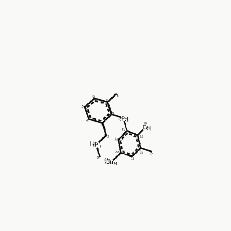 CPCc1cccc(C)c1Pc1cc(C(C)(C)C)cc(C)c1O